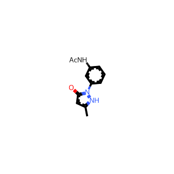 CC(=O)Nc1cccc(-n2[nH]c(C)cc2=O)c1